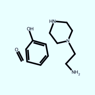 C=O.NCCN1CCNCC1.Oc1ccccc1